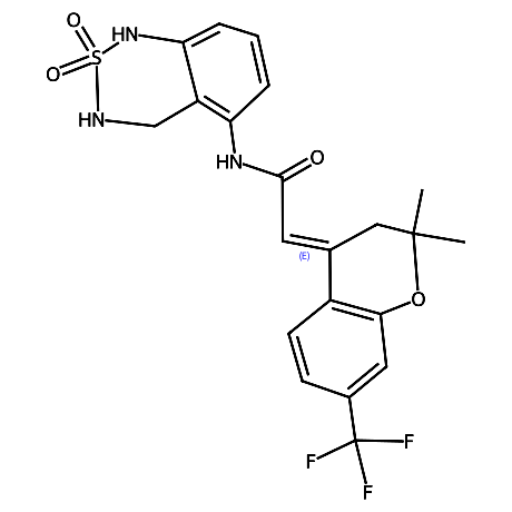 CC1(C)C/C(=C\C(=O)Nc2cccc3c2CNS(=O)(=O)N3)c2ccc(C(F)(F)F)cc2O1